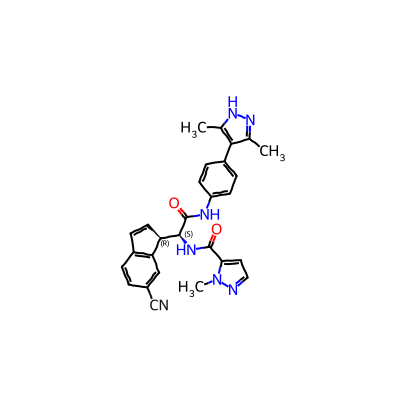 Cc1n[nH]c(C)c1-c1ccc(NC(=O)[C@@H](NC(=O)c2ccnn2C)[C@@H]2C=Cc3ccc(C#N)cc32)cc1